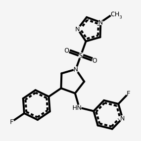 Cn1cnc(S(=O)(=O)N2CC(Nc3ccnc(F)c3)C(c3ccc(F)cc3)C2)c1